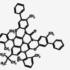 Cc1cc2c(cc1-c1ccccc1)oc1c3n4c5c(oc6cc(-c7ccccc7)c(C)cc6n-5c(=O)n2-3)B(c2c(C)cccc2C)c2cc(C(C)(C)C)cc(c2-4)B1c1c(C)cccc1C